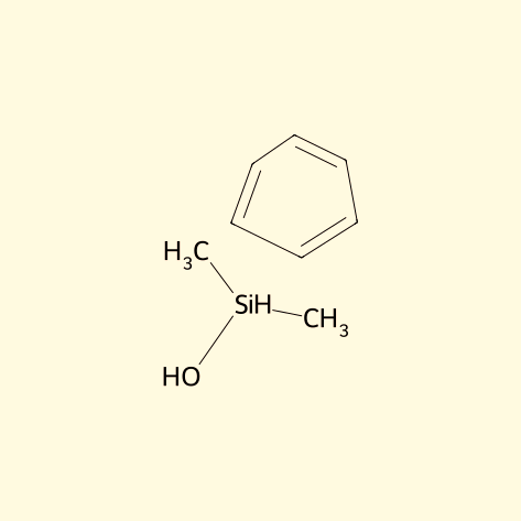 C[SiH](C)O.c1ccccc1